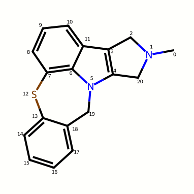 CN1Cc2c(n3c4c(cccc24)Sc2ccccc2C3)C1